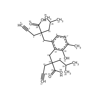 C#CCC(Cc1cnc(C)c(O)c1CC(CC#C)(CC(C)C)C(=O)O)(CC(C)C)C(=O)O